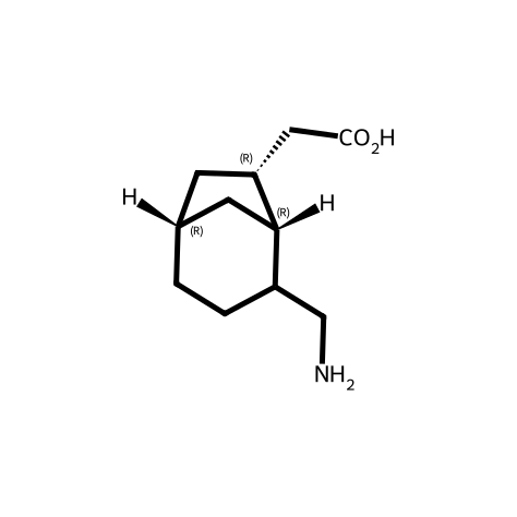 NCC1CC[C@@H]2C[C@H](CC(=O)O)[C@H]1C2